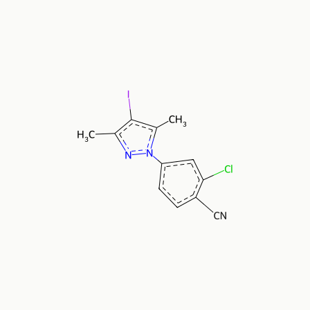 Cc1nn(-c2ccc(C#N)c(Cl)c2)c(C)c1I